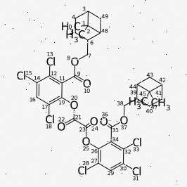 CC1(C)C2CCC(COC(=O)c3c(Cl)c(Cl)cc(Cl)c3OC(=O)C(=O)Oc3c(Cl)cc(Cl)c(Cl)c3C(=O)OCC3CCC4CC3C4(C)C)C1C2